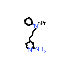 CCCN(CCCCc1ccnc(N)c1)c1ccccc1